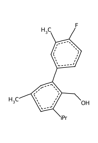 Cc1cc(-c2ccc(F)c(C)c2)c(CO)c(C(C)C)c1